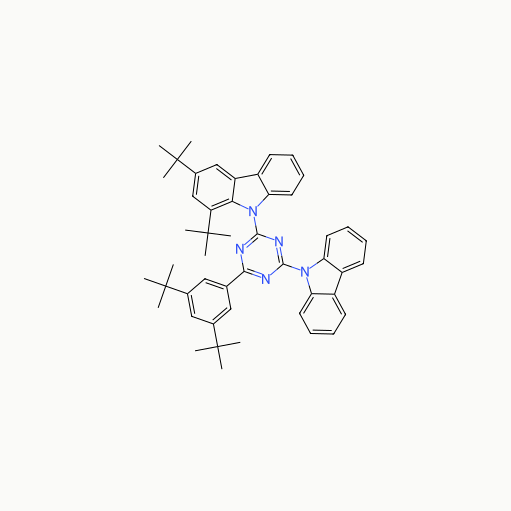 CC(C)(C)c1cc(-c2nc(-n3c4ccccc4c4ccccc43)nc(-n3c4ccccc4c4cc(C(C)(C)C)cc(C(C)(C)C)c43)n2)cc(C(C)(C)C)c1